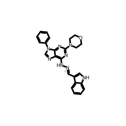 C(=N\Nc1nc(N2CCOCC2)nc2c1ncn2-c1ccccc1)/c1c[nH]c2ccccc12